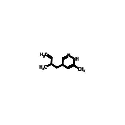 C=CC(C)CC1C=NNC(C)=C1